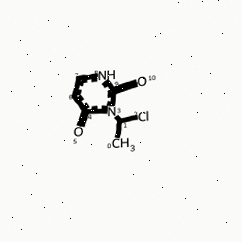 CC(Cl)n1c(=O)cc[nH]c1=O